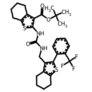 CC(C)(C)OC(=O)c1c(NC(=O)NCc2c(-c3ccccc3C(F)(F)F)sc3c2CCCC3)sc2c1CCCC2